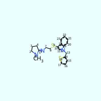 CN1CCC/C1=N\CCSc1cn(Cc2cccs2)c2ccccc12